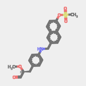 CO[C@H](C=O)Cc1ccc(NCc2ccc3cc(OS(C)(=O)=O)ccc3c2)cc1